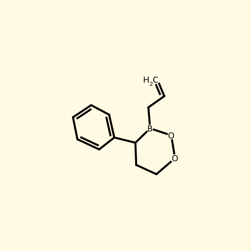 C=CCB1OOCCC1c1ccccc1